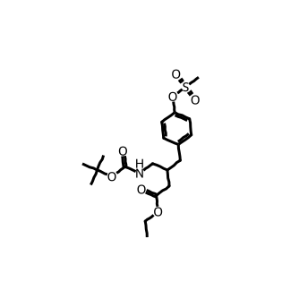 CCOC(=O)CC(CNC(=O)OC(C)(C)C)Cc1ccc(OS(C)(=O)=O)cc1